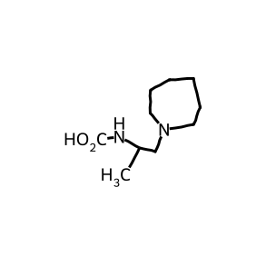 CC(CN1CCCCCC1)NC(=O)O